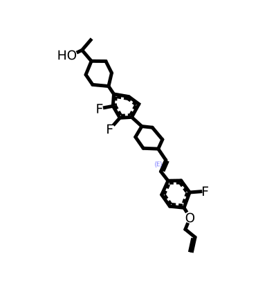 C=CCOc1ccc(/C=C/C2CCC(c3ccc(C4CCC(C(C)O)CC4)c(F)c3F)CC2)cc1F